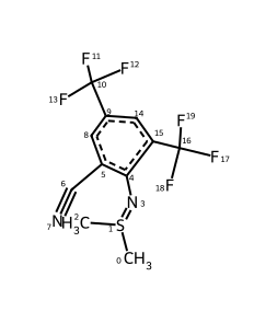 CS(C)=Nc1c(C#N)cc(C(F)(F)F)cc1C(F)(F)F